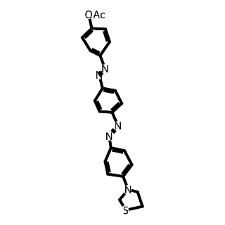 CC(=O)Oc1ccc(N=Nc2ccc(N=Nc3ccc(N4CCSC4)cc3)cc2)cc1